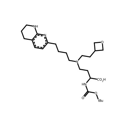 CC(C)(C)OC(=O)NC(CCN(CCCCc1ccc2c(n1)NCCC2)CCC1COC1)C(=O)O